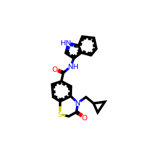 O=C(Nc1c[nH]c2ccccc12)c1ccc2c(c1)N(CC1CC1)C(=O)CS2